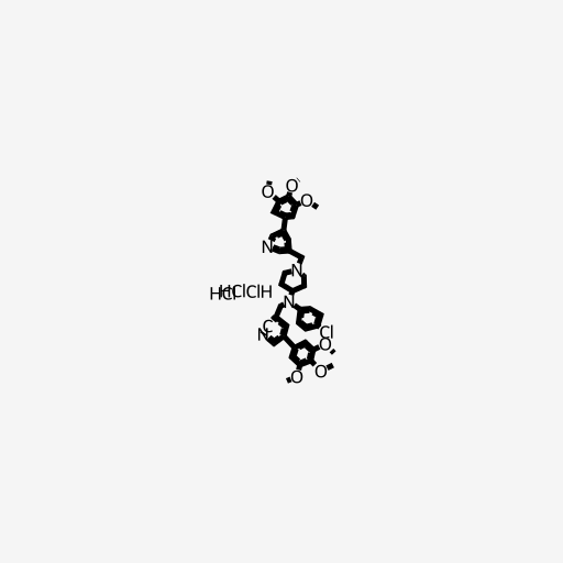 COc1cc(-c2cncc(CN3CCC(N(Cc4cncc(-c5cc(OC)c(OC)c(OC)c5)c4)c4ccc(Cl)cc4)CC3)c2)cc(OC)c1OC.Cl.Cl.Cl